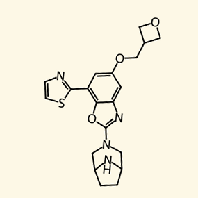 c1csc(-c2cc(OCC3COC3)cc3nc(N4CC5CCC(C4)N5)oc23)n1